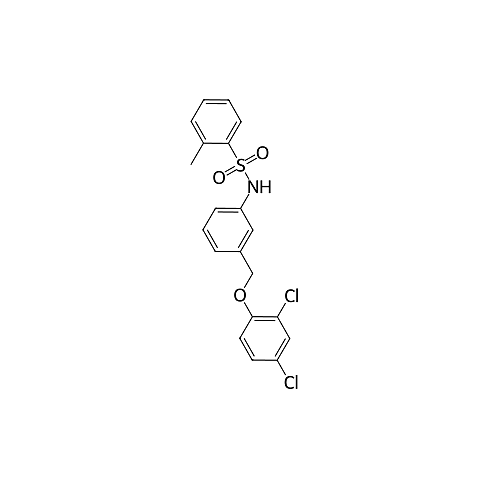 Cc1ccccc1S(=O)(=O)Nc1cccc(COc2ccc(Cl)cc2Cl)c1